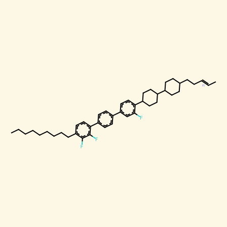 C/C=C/CCC1CCC(C2CCC(c3ccc(-c4ccc(-c5ccc(CCCCCCCCC)c(F)c5F)cc4)cc3F)CC2)CC1